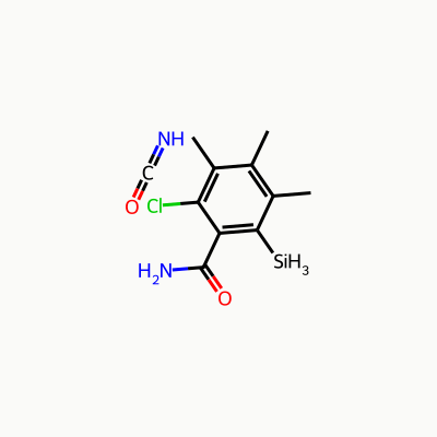 Cc1c(C)c([SiH3])c(C(N)=O)c(Cl)c1C.N=C=O